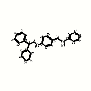 c1ccc(C(COc2ccc(CNc3ccncc3)cc2)c2ccccc2)cc1